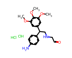 COc1cc(C(CNCC=O)c2ccc(N)cc2)cc(OC)c1OC.Cl.Cl